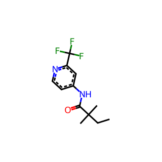 CCC(C)(C)C(=O)Nc1ccnc(C(F)(F)F)c1